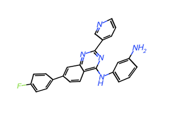 Nc1cccc(Nc2nc(-c3cccnc3)nc3cc(-c4ccc(F)cc4)ccc23)c1